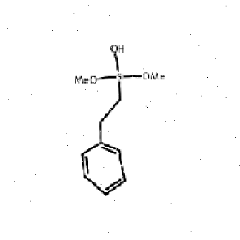 CO[Si](O)(CCc1ccccc1)OC